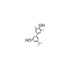 Cc1cc(-c2cc(O)cc(C(C)C)c2)cc(C)c1O